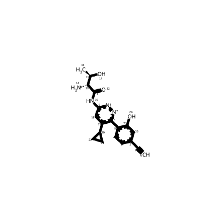 C#Cc1ccc(-c2nnc(NC(=O)[C@H](N)[C@@H](C)O)cc2C2CC2)c(O)c1